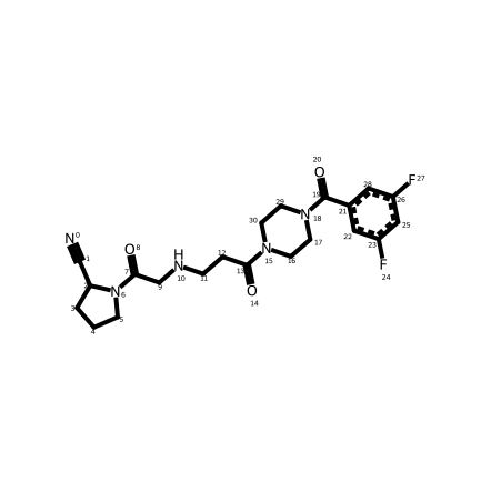 N#CC1CCCN1C(=O)CNCCC(=O)N1CCN(C(=O)c2cc(F)cc(F)c2)CC1